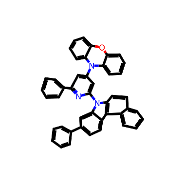 c1ccc(-c2ccc3c4c5ccccc5ccc4n(-c4cc(N5c6ccccc6Oc6ccccc65)cc(-c5ccccc5)n4)c3c2)cc1